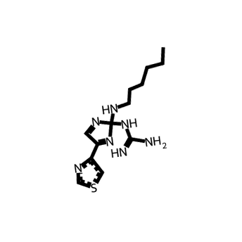 CCCCCCNC1(NC(=N)N)N=CC(c2cscn2)=N1